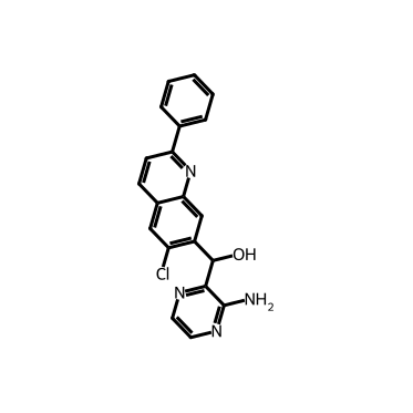 Nc1nccnc1C(O)c1cc2nc(-c3ccccc3)ccc2cc1Cl